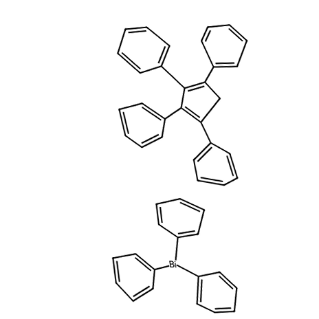 c1cc[c]([Bi]([c]2ccccc2)[c]2ccccc2)cc1.c1ccc(C2=C(c3ccccc3)C(c3ccccc3)=C(c3ccccc3)C2)cc1